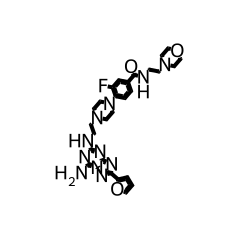 Nc1nc(NCCN2CCN(c3ccc(C(=O)NCCN4CCOCC4)cc3F)CC2)nc2nc(-c3ccco3)nn12